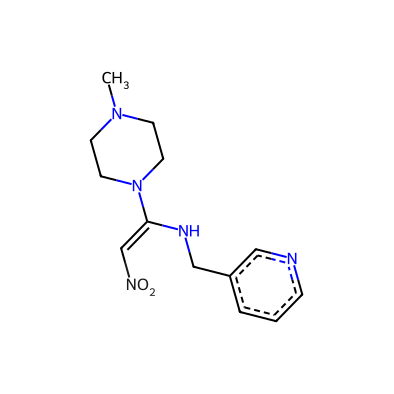 CN1CCN(C(=C[N+](=O)[O-])NCc2cccnc2)CC1